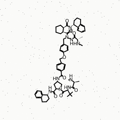 CN[C@@H](C)C(=O)N[C@H](C(=O)N1C[C@@H](NC(=O)c2ccc(COc3ccc(CN(NC(=O)[C@H](C)NC)C(=O)[C@H]4CCCC[C@H]4C(=O)N[C@@H]4CCCc5ccccc54)cc3)cc2)CC1C(=O)N[C@@H]1CCCc2ccccc21)C(C)(C)C